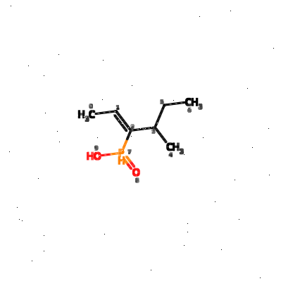 CC=C(C(C)CC)[PH](=O)O